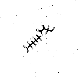 C=C(C(=O)OC(C)(C)C(F)(F)C(F)(F)C(F)(F)C(F)F)C(F)(F)CF